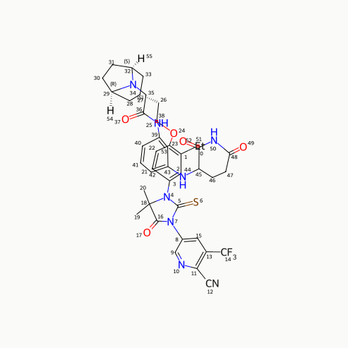 CCc1cc(N2C(=S)N(c3cnc(C#N)c(C(F)(F)F)c3)C(=O)C2(C)C)ccc1OCC[C@@H]1C[C@H]2CC[C@@H](C1)N2CC(=O)Nc1cccc(NC2CCC(=O)NC2=O)c1